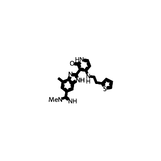 CNC(=N)c1cc(C)c2nc(-c3c(NCCc4cccs4)cc[nH]c3=O)[nH]c2c1